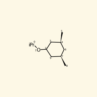 CC(C)OC1C[C@@H](C)C[C@@H](C)C1